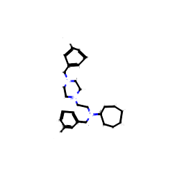 CC(=O)c1cccc(CN2CCN(CCN(Cc3cccc(C(F)(F)F)c3)C3CCCCCC3)CC2)c1